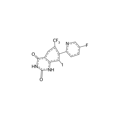 O=c1[nH]c(=O)c2cc(C(F)(F)F)c(-c3ccc(F)cn3)c(I)c2[nH]1